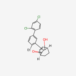 CCc1ccc(-c2ccc(Cl)cc2Cl)cc1C1=C(O)[C@H]2C=C[C@H](CC2)C1=O